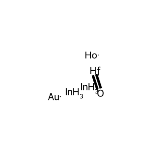 [Au].[Ho].[InH3].[InH3].[O]=[Hf]